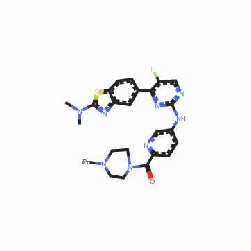 CC(C)N1CCN(C(=O)c2ccc(Nc3ncc(F)c(-c4ccc5sc(N(C)C)nc5c4)n3)cn2)CC1